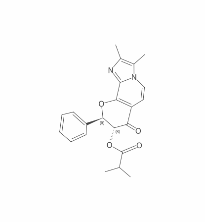 Cc1nc2c3c(ccn2c1C)C(=O)[C@H](OC(=O)C(C)C)[C@@H](c1ccccc1)O3